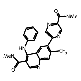 CNC(=O)c1cnc(-c2cc3c(Nc4ccccc4)c(C(=O)NC)cnc3cc2C(F)(F)F)cn1